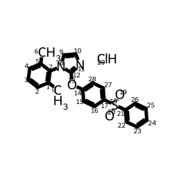 Cc1cccc(C)c1-n1ccnc1Oc1ccc(S(=O)(=O)c2ccccc2)cc1.Cl